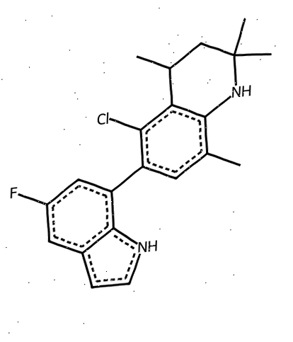 Cc1cc(-c2cc(F)cc3cc[nH]c23)c(Cl)c2c1NC(C)(C)CC2C